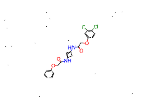 O=C(COc1ccccc1)NC12CC(NC(=O)COc3ccc(Cl)c(F)c3)(C1)C2